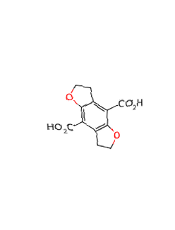 O=C(O)c1c2c(c(C(=O)O)c3c1OCC3)OCC2